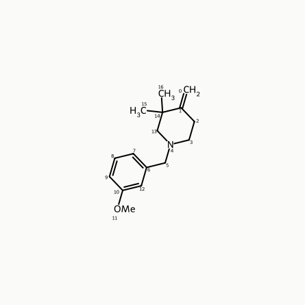 C=C1CCN(Cc2cccc(OC)c2)CC1(C)C